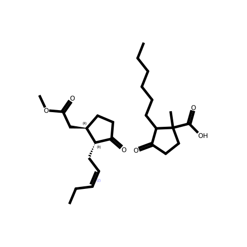 CC/C=C\C[C@H]1C(=O)CC[C@@H]1CC(=O)OC.CCCCCCC1C(=O)CCC1(C)C(=O)O